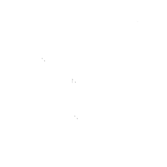 Brc1ccc(-c2cnc3ccc4cccnc4c3n2)cc1